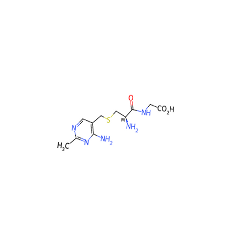 Cc1ncc(CSC[C@H](N)C(=O)NCC(=O)O)c(N)n1